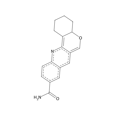 NC(=O)c1ccc2nc3c(cc2c1)=COC1CCCCC=31